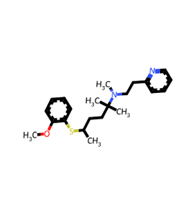 COc1ccccc1SC(C)CCC(C)(C)N(C)CCc1ccccn1